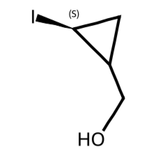 OCC1C[C@@H]1I